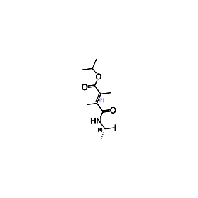 C/C(C(=O)N[C@@H](C)I)=C(/C)C(=O)OC(C)C